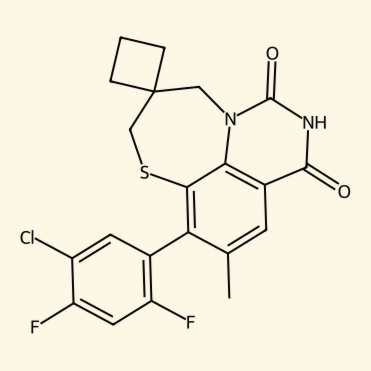 Cc1cc2c(=O)[nH]c(=O)n3c2c(c1-c1cc(Cl)c(F)cc1F)SCC1(CCC1)C3